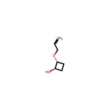 C=CCO[C@@H]1CC[C@H]1O